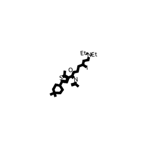 C=C(C)/N=C(/C(=O)CCC(I)CCN(CC)CC)c1cc(C2CCC(C)(C)CC2)sc1C